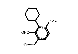 COc1ccc(C[C](C)C)c(C=O)c1C1CCCCC1